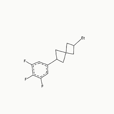 CCC1CC2(C1)CC(c1cc(F)c(F)c(F)c1)C2